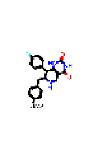 COc1ccc(CC2NCc3c([nH]c(=O)[nH]c3=O)C2c2ccc(F)cc2)cc1